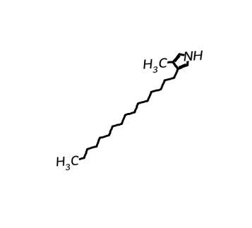 CCCCCCCCCCCCCCCCc1c[nH]cc1C